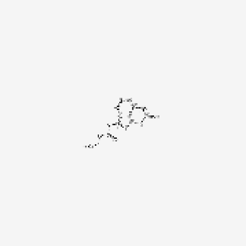 CCOC(=O)Cn1cc2c3c(cccc31)NC(=O)C2